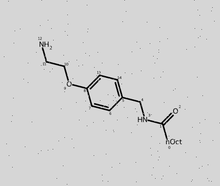 CCCCCCCCC(=O)NCc1ccc(OCCN)cc1